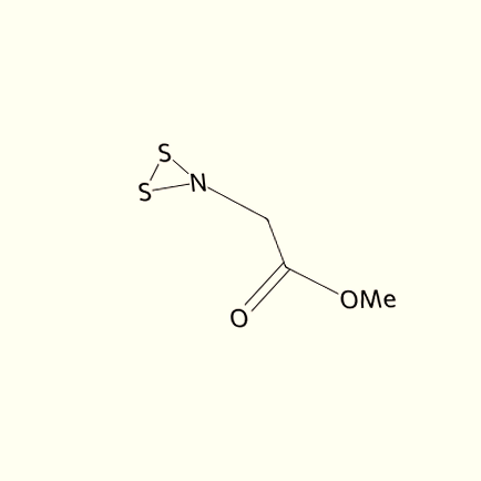 COC(=O)Cn1ss1